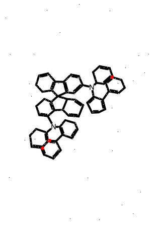 C1=CCCC(N(C2=CCCC3=C2C2C=CC=CC2C32C3=C(C=CCC3)c3ccc(N(c4ccccc4C4=CCCC=C4)C4C=CC=CC4)cc32)C2=C(c3ccccc3)C=CCC2)=C1